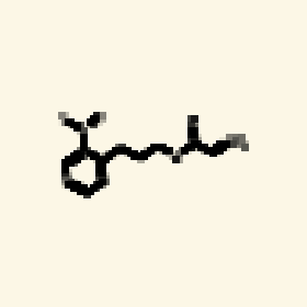 C=CC(=O)OCCCc1ccccc1[N+](=O)[O-]